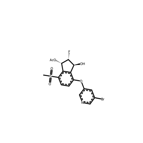 CC(=O)O[C@H]1c2c(S(C)(=O)=O)ccc(Oc3cncc(Br)c3)c2[C@H](O)[C@H]1F